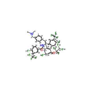 CN(C)Cc1ccc(C[C@](NC(=O)c2ccc(F)c(C(F)(F)F)c2)(C2=CC(OC(F)(F)C(F)F)=CC(F)C2)c2ccc(F)c(C(F)(F)F)c2)cc1